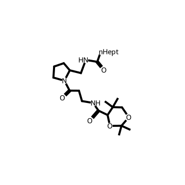 CCCCCCCC(=O)NCC1CCCN1C(=O)CCNC(=O)C1OC(C)(C)OCC1(C)C